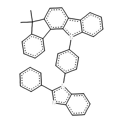 CC1(C)c2ccccc2-c2c1ccc1c3ccccc3n(-c3ccc(-n4c(-c5ccccc5)nc5ccccc54)cc3)c21